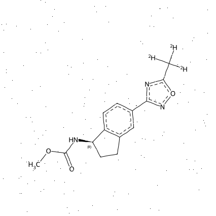 [2H]C([2H])([2H])c1nc(-c2ccc3c(c2)CC[C@H]3NC(=O)OC)no1